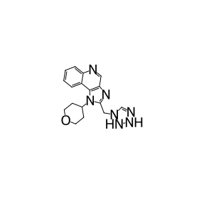 C1=NNNN1Cc1nc2cnc3ccccc3c2n1C1CCOCC1